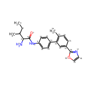 CCC(C)C(N)C(=O)Nc1ccc(-c2cc(-c3ncco3)ccc2C)cc1